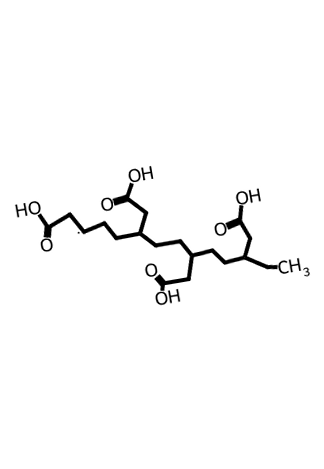 CCC(CCC(CCC(CC[CH]CC(=O)O)CC(=O)O)CC(=O)O)CC(=O)O